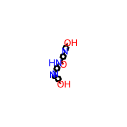 O=C(Nc1ccc(-n2ncc3cc(O)ccc32)cc1)c1ccc(N2CCC(O)CC2)cc1